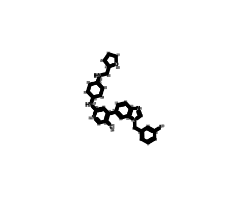 Fc1cccc(Cn2cnc3ccc(-c4cc(NC5CCC(NCC6CCCO6)CC5)ncc4Cl)cc32)c1